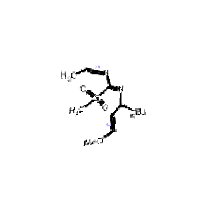 C/C=N\C(=NC(/C=C/OC)[C@H](C)CC)S(C)(=O)=O